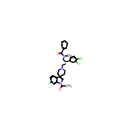 CC(=O)N1CC2(CCN(CC[C@H](CN(C)C(=O)c3ccccc3)c3ccc(Cl)c(Cl)c3)CC2)c2ccc(F)cc21